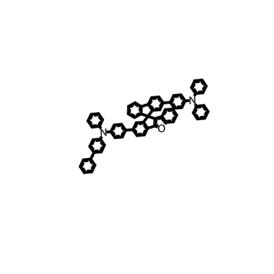 c1ccc(-c2ccc(N(c3ccccc3)c3ccc(-c4ccc5c(c4)C4(c6ccccc6-c6ccc(-c7ccc(N(c8ccccc8)c8ccccc8)cc7)cc64)c4c-5oc5ccccc45)cc3)cc2)cc1